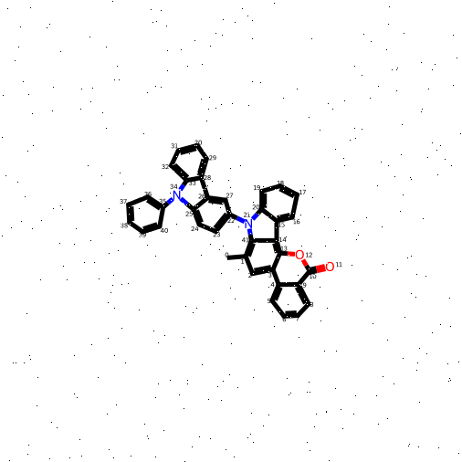 Cc1cc2c3ccccc3c(=O)oc2c2c3ccccc3n(-c3ccc4c(c3)c3ccccc3n4-c3ccccc3)c12